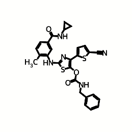 Cc1ccc(C(=O)NC2CC2)cc1Nc1nc(-c2ccc(C#N)s2)c(OC(=O)NCc2ccccc2)s1